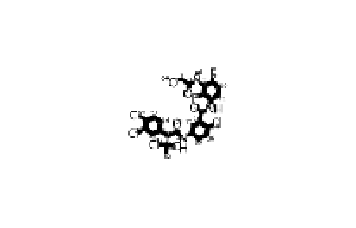 COCC(=O)N(C)c1c(F)ccc(NC(=O)c2cc(NC(=O)[C@H](c3ccc(Cl)c(Cl)c3)C(C)(Cl)Cl)ccc2Cl)c1F